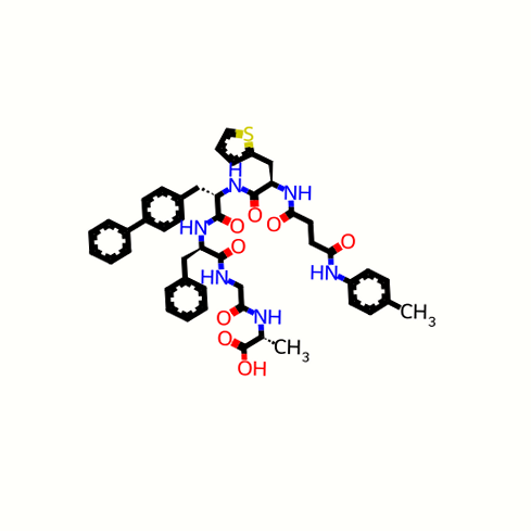 Cc1ccc(NC(=O)CCC(=O)N[C@H](Cc2cccs2)C(=O)N[C@@H](Cc2ccc(-c3ccccc3)cc2)C(=O)N[C@H](Cc2ccccc2)C(=O)NCC(=O)N[C@H](C)C(=O)O)cc1